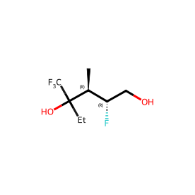 CCC(O)([C@@H](C)[C@@H](F)CO)C(F)(F)F